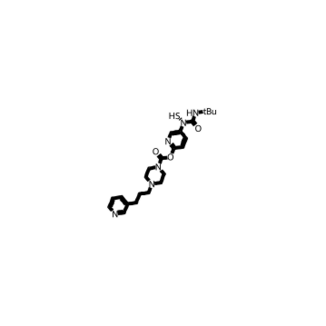 CC(C)(C)NC(=O)N(S)c1ccc(OC(=O)N2CCN(CCCc3cccnc3)CC2)nc1